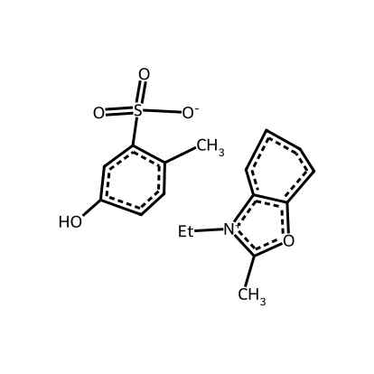 CC[n+]1c(C)oc2ccccc21.Cc1ccc(O)cc1S(=O)(=O)[O-]